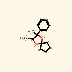 CC1(c2ccccc2)OC2(CCCC2)OC1C(=O)O